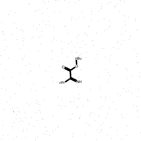 CCCCOC(=O)C(=N)CCC